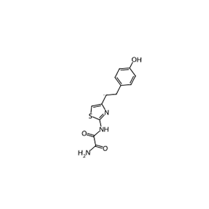 NC(=O)C(=O)Nc1nc([CH]Cc2ccc(O)cc2)cs1